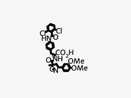 COc1ccc(C2=NOC(C)(C(=O)N[C@@H](Cc3ccc(NC(=O)c4c(Cl)cccc4Cl)cc3)C(=O)O)C2)cc1OC